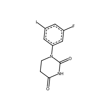 O=C1CCN(c2cc(F)cc(I)c2)C(=O)N1